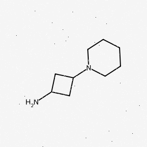 NC1CC(N2CCCCC2)C1